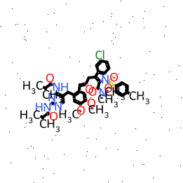 COc1cc(Cc2cnc(NC(=O)C(C)C)nc2NC(=O)C(C)C)c2cc(Cc3c(C(=O)N(C)C)n(S(=O)(=O)c4ccc(C)cc4)c4ccc(Cl)cc34)oc2c1OC